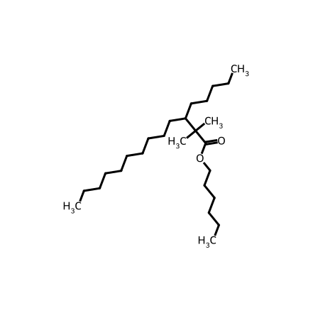 CCCCCCCCCCC(CCCCC)C(C)(C)C(=O)OCCCCCC